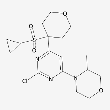 CC1COCCN1c1cc(C2(S(=O)(=O)C3CC3)CCOCC2)nc(Cl)n1